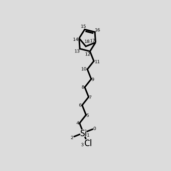 C[Si](C)(Cl)CCCCCCCCC1CC2C=CC1C2